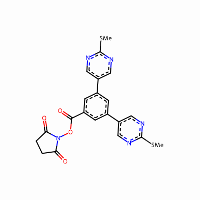 CSc1ncc(-c2cc(C(=O)ON3C(=O)CCC3=O)cc(-c3cnc(SC)nc3)c2)cn1